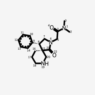 CN(C)C(=O)CN1C[C@@H](c2ccccc2)[C@@]2(CCCNC2)C1=O